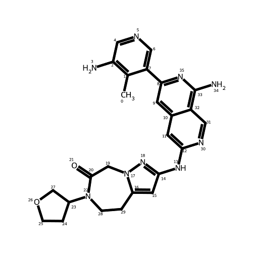 Cc1c(N)cncc1-c1cc2cc(Nc3cc4n(n3)CC(=O)N(C3CCOC3)CC4)ncc2c(N)n1